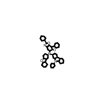 c1ccc(-c2nc3cc(N(c4ccc5oc6ccccc6c5c4)c4ccc5c6ccccc6n(-c6ccccc6)c5c4)c4oc5ccccc5c4c3o2)cc1